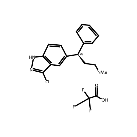 CNCC[C@H](c1ccccc1)c1ccc2[nH]nc(Cl)c2c1.O=C(O)C(F)(F)F